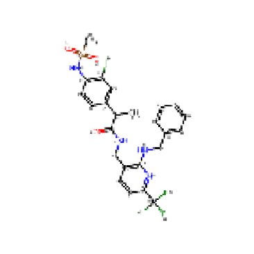 CC(C(=O)NCc1ccc(C(F)(F)F)nc1NCc1ccccc1)c1ccc(NS(C)(=O)=O)c(F)c1